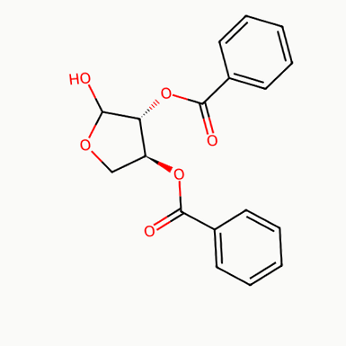 O=C(O[C@H]1COC(O)[C@@H]1OC(=O)c1ccccc1)c1ccccc1